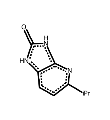 CC(C)c1ccc2[nH]c(=O)[nH]c2n1